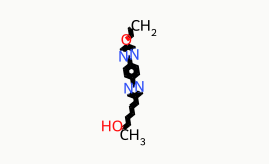 C=CCOc1cnc(-c2ccc(-c3ncc(C=CCCCC(C)O)cn3)cc2)nc1